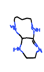 C1CNC2NCCNC2=N1